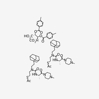 CC(=O)SCCN(CCC12CC3CC(CC(C3)C1)C2)C(=O)N[C@@H](C)C(=O)N1CCN(C)CC1.CC(=O)SCCN(CCC12CC3CC(CC(C3)C1)C2)C(=O)N[C@@H](C)C(=O)N1CCN(C)CC1.Cc1ccc(C(=O)O[C@@H](C(=O)O)[C@@H](OC(=O)c2ccc(C)cc2)C(=O)O)cc1